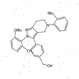 Cc1cccc(OCC(C)C)c1-n1nc2c(c1-c1ccc(CO)cc1)CN(c1ccccc1C(C)(C)C)CC2